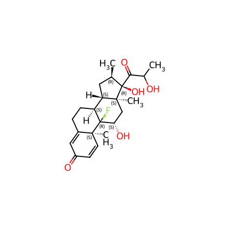 CC(O)C(=O)[C@@]1(O)[C@H](C)C[C@H]2[C@@H]3CCC4=CC(=O)C=C[C@]4(C)[C@@]3(F)[C@@H](O)C[C@@]21C